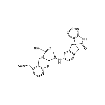 CNCc1cccc(F)c1CN(CC(=O)Nc1ccc2c(c1)CC1(C2)C(=O)Nc2ncccc21)C(=O)C(C)(C)C